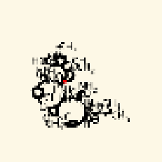 CN[C@@H](CC(C)C)C(=O)N[C@H]1C(=O)N[C@@H](CC(N)=O)C(=O)N[C@H]2CN[C@H]3C(=O)N[C@@H](Cc4ccc(c(Cl)c4)Oc4cc2cc(c4OC)Oc2ccc(cc2Cl)[C@H]1O)C(=O)N[C@@H](B(O)O)c1cc(OC)cc(OC)c1-c1cc3ccc1OC